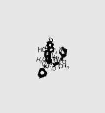 C[C@@H](NC(=O)c1cccnc1)C(=O)OCC(=O)[C@@]12O[C@H](C3CCCCC3)O[C@@H]1C[C@H]1[C@@H]3CCC4=CC(=O)C=C[C@]4(C)[C@H]3[C@@H](O)C[C@@]12C